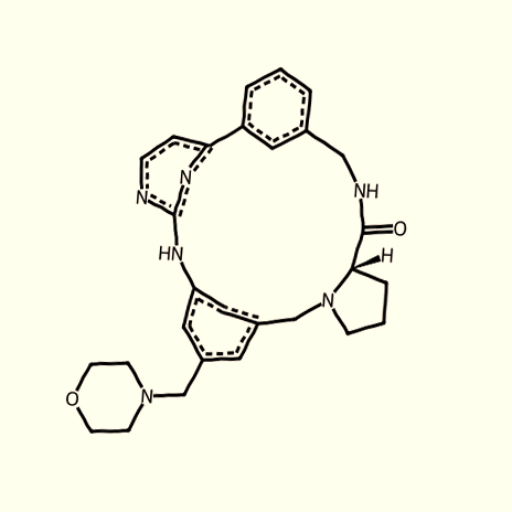 O=C1NCc2cccc(c2)-c2ccnc(n2)Nc2cc(CN3CCOCC3)cc(c2)CN2CCC[C@@H]12